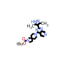 Cc1n[nH]c(C)c1-c1nc(N2CCC3(CCN(C(=O)OC(C)(C)C)C3)CC2)c2ccncc2n1